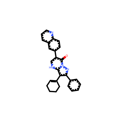 O=c1c(-c2ccc3ncccc3c2)c[nH]c2c(C3=CCCCC3)c(-c3ccccc3)nn12